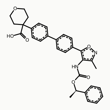 Cc1noc(-c2ccc(-c3ccc(C4(C(=O)O)CCOCC4)cc3)cc2)c1NC(=O)O[C@H](C)c1ccccc1